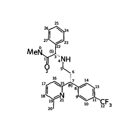 CNC(=O)[C@@H](NCC[C@H](c1ccc(C(F)(F)F)cc1)c1cccc(C)n1)c1ccccc1